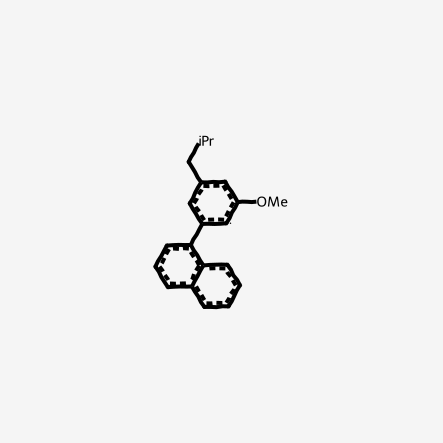 COc1[c]c(-c2cccc3ccccc23)cc(CC(C)C)c1